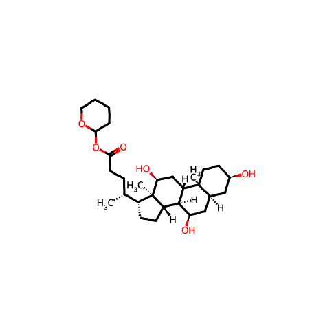 C[C@H](CCC(=O)OC1CCCCO1)[C@H]1CC[C@H]2[C@@H]3[C@H](O)C[C@@H]4C[C@H](O)CC[C@]4(C)[C@H]3C[C@H](O)[C@]12C